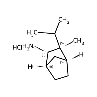 CC(C)[C@@]1(C)[C@H]2CC[C@H](C2)[C@@H]1N.Cl